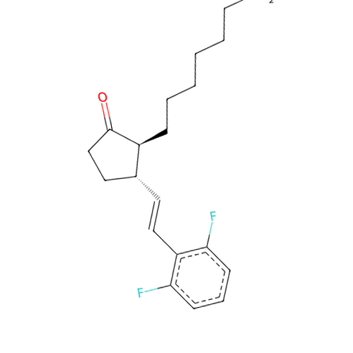 O=C(O)CCCCCC[C@@H]1C(=O)CC[C@H]1C=Cc1c(F)cccc1F